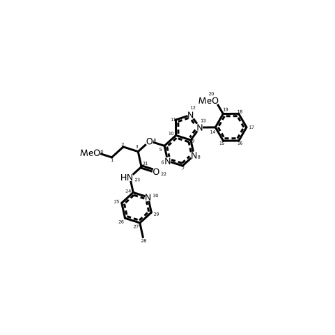 COCCC(Oc1ncnc2c1cnn2-c1ccccc1OC)C(=O)Nc1ccc(C)cn1